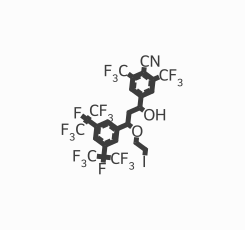 N#Cc1c(C(F)(F)F)cc(C(O)CC(OCCI)c2cc(C(F)(C(F)(F)F)C(F)(F)F)cc(C(F)(C(F)(F)F)C(F)(F)F)c2)cc1C(F)(F)F